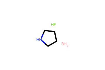 B.C1CCNC1.F